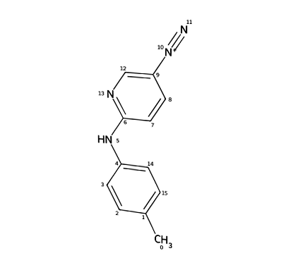 Cc1ccc(Nc2ccc([N+]#N)cn2)cc1